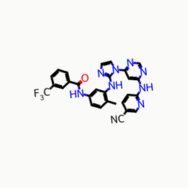 Cc1ccc(NC(=O)c2cccc(C(F)(F)F)c2)cc1Nc1nccn1-c1cc(Nc2ccc(C#N)cn2)ncn1